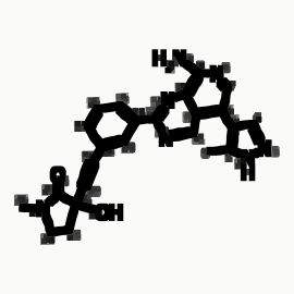 Cc1[nH]ncc1-c1cnc(N)c2nc(-c3cccc(C#CC4(O)CCN(C)C4=O)c3)ncc12